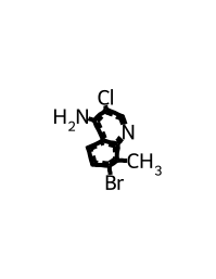 Cc1c(Br)ccc2c(N)c(Cl)cnc12